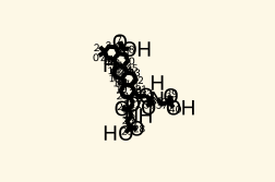 CC1(C)CC[C@]2(C(=O)O)CC[C@]3(C)C(=CCC4[C@@]5(C)CCC(OC(=O)NCC(=O)O)[C@@](C)(COC(=O)NCC(=O)O)C5CC[C@]43C)[C@@H]2C1